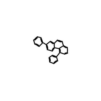 c1ccc(-c2ccc3c(ccc4cccc(-c5ccccc5)c43)c2)cc1